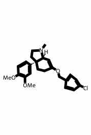 COc1ccc([C@@]23CCC(OCc4ccc(Cl)cc4)=C[C@@H]2N(C)CC3)cc1OC